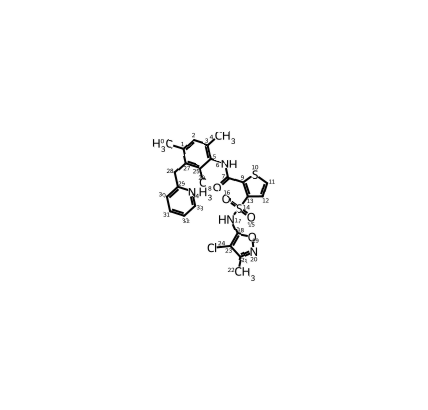 Cc1cc(C)c(NC(=O)c2sccc2S(=O)(=O)Nc2onc(C)c2Cl)c(C)c1Cc1ccccn1